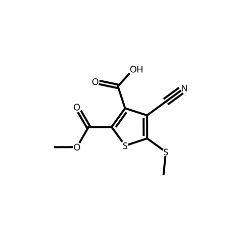 COC(=O)c1sc(SC)c(C#N)c1C(=O)O